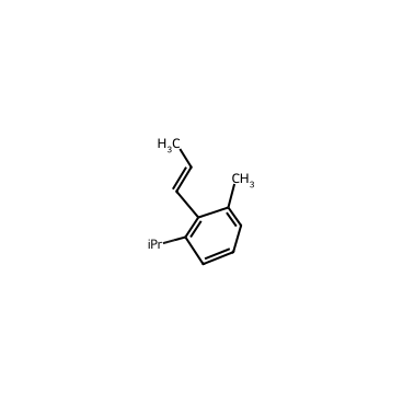 CC=Cc1c(C)cccc1C(C)C